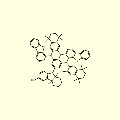 Cc1cc2c(cc1N1c3cc(N4c5ccc(C(C)(C)C)cc5C5(C)CCCCC45C)cc4c3B(c3cc5c(cc3N4c3cccc4c3sc3ccccc34)C(C)(C)CCC5(C)C)c3ccc4c(sc5ccccc54)c31)C(C)(C)CCC2(C)C